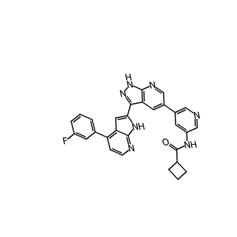 O=C(Nc1cncc(-c2cnc3[nH]nc(-c4cc5c(-c6cccc(F)c6)ccnc5[nH]4)c3c2)c1)C1CCC1